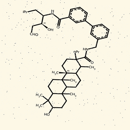 CCCC1(C(=O)NCc2cccc(-c3cccc(C(=O)NC(CC(C)C)[C@@H](O)CC=O)c3)c2)CC[C@]2(C)C(CCC3C4(C)CCC(O)C(C)(C)C4CCC32C)C1C